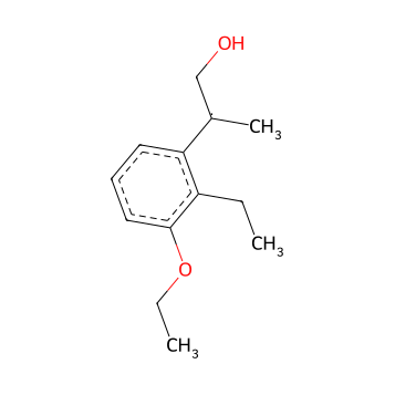 CCOc1cccc([C](C)CO)c1CC